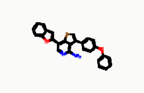 Nc1ncc(-c2cc3ccccc3o2)c2scc(-c3ccc(Oc4ccccc4)cc3)c12